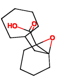 O=C(O)C12CCCCC1(CC1CCCCC1)O2